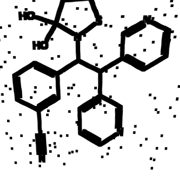 N#Cc1cccc(C(C(c2cccnc2)c2cccnc2)N2SCCC2(O)O)c1